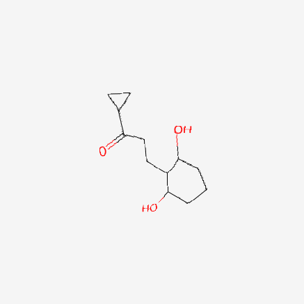 O=C(CCC1C(O)CCCC1O)C1CC1